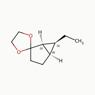 CC[C@H]1[C@H]2CCC3(OCCO3)[C@H]21